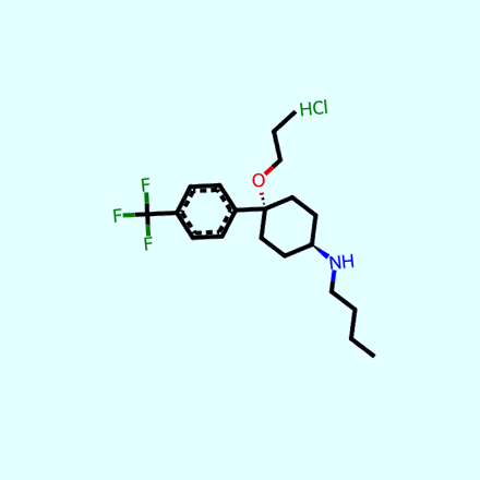 CCCCN[C@H]1CC[C@@](OCCC)(c2ccc(C(F)(F)F)cc2)CC1.Cl